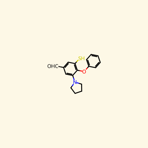 O=Cc1cc(S)c(Oc2ccccc2)c(N2CCCC2)c1